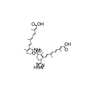 CC1=C(/C=C/C(C)=C/C=C/C(C)=C/C(=O)O)[C@@](C)(NS(=O)(=O)C2CC[C@](C)(c3nn[nH]n3)C(/C=C/C(C)=C/C=C/C(C)=C/C(=O)O)=C2C)CCC1